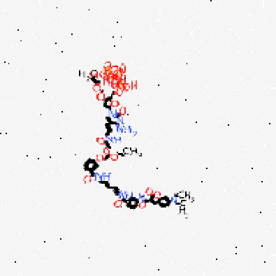 C=CCOCO[C@@H]1C[C@H](n2cc(/C=C/CNC(=O)COC(COc3cccc(C(=O)NCCCCCNC(=O)c4ccc5oc(-c6cc7ccc(N(CC)CC)cc7oc6=O)nc5c4)c3)OCC=C)c(N)nc2=O)O[C@@H]1COP(=O)(O)OP(=O)(O)OP(=O)(O)O